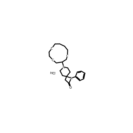 Cl.O=C1CC2(CCN(C3CCCCCCCCCCC3)CC2)N1c1ccccc1